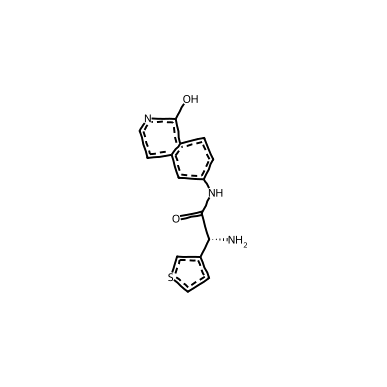 N[C@@H](C(=O)Nc1ccc2c(O)nccc2c1)c1ccsc1